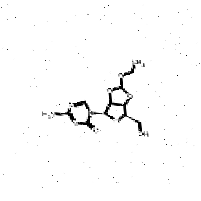 CCOC1OC2C(O1)[C@@H](CO)O[C@H]2n1cnc(N)nc1=O